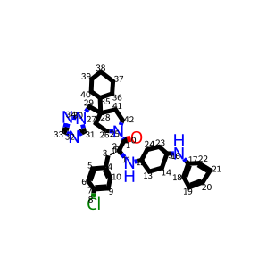 O=C([C@@H](Cc1ccc(Cl)cc1)NC1CCC(Nc2ccccc2)CC1)N1CCC(Cn2cncn2)(C2CCCCC2)CC1